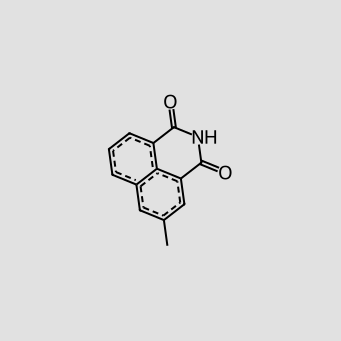 Cc1cc2c3c(cccc3c1)C(=O)NC2=O